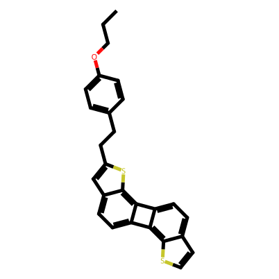 CCCOc1ccc(CCc2cc3ccc4c(c3s2)-c2ccc3ccsc3c2-4)cc1